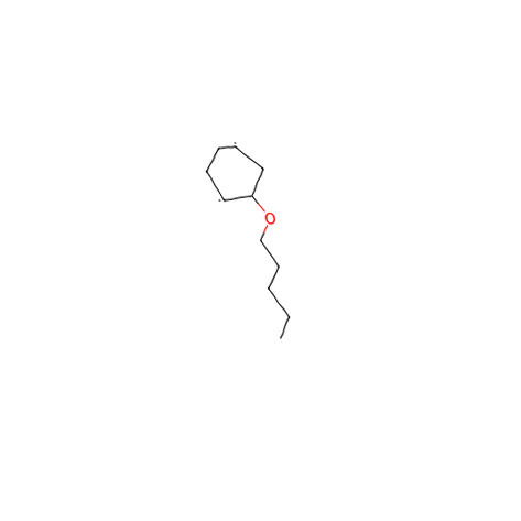 CCCCCOC1[CH]CC[CH]C1